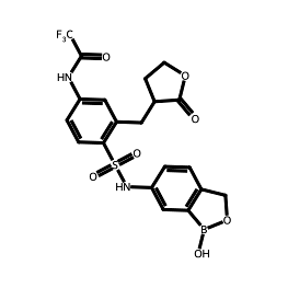 O=C1OCCC1Cc1cc(NC(=O)C(F)(F)F)ccc1S(=O)(=O)Nc1ccc2c(c1)B(O)OC2